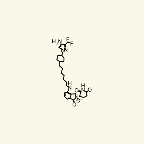 Nc1cn(C2CCC(CCCCCCCNc3cccc4c3C[N+]([O-])(C3CCC(=O)NC3=O)C4=O)CC2)nc1C(F)F